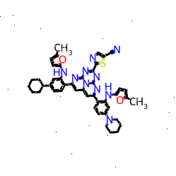 Cc1ccc(Nc2cc(C3CCCCC3)ccc2C2=CC3=CC(c4ccc(N5CCCCC5)cc4Nc4ccc(C)o4)=NC4=NC(c5ncc(C#N)s5)=NC(=N2)N34)o1